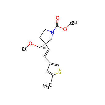 CCOC[C@]1(C=Cc2csc(C)c2)CCN(C(=O)OC(C)(C)C)C1